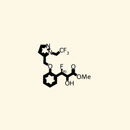 COC(=O)C(O)[C@H](F)c1ccccc1OCc1ccnn1CC(F)(F)F